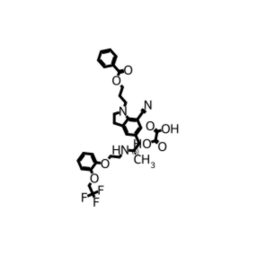 C[C@@H](Cc1cc(C#N)c2c(c1)CCN2CCCOC(=O)c1ccccc1)NCCOc1ccccc1OCC(F)(F)F.O=C(O)C(=O)O